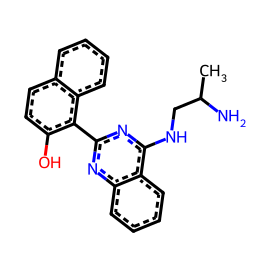 CC(N)CNc1nc(-c2c(O)ccc3ccccc23)nc2ccccc12